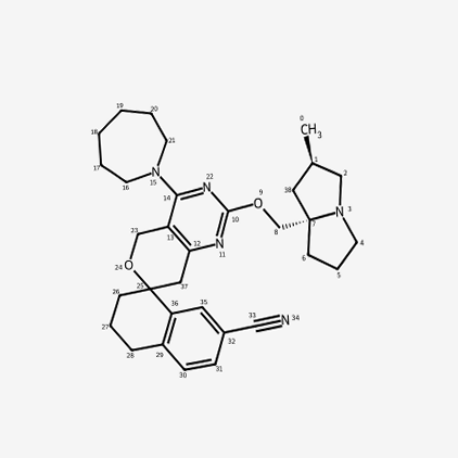 C[C@H]1CN2CCC[C@@]2(COc2nc3c(c(N4CCCCCC4)n2)COC2(CCCc4ccc(C#N)cc42)C3)C1